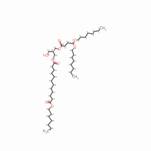 CCCCCCCCOC(CCC(=O)OC[C@H](CO)COC(=O)CCCCCCCCCCC(=O)OCCCCCCC)OCCCCCCCC